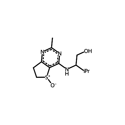 Cc1nc2c(c(NC(CO)C(C)C)n1)[S+]([O-])CC2